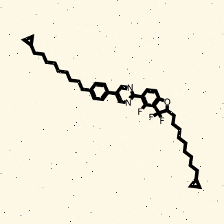 Fc1c(-c2ncc(-c3ccc(CCCCCCCCCC4CC4)cc3)cn2)ccc2c1C(F)(F)C(CCCCCCCCCC1CC1)O2